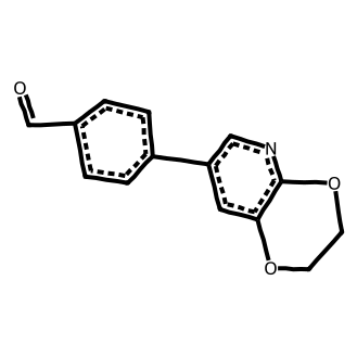 O=Cc1ccc(-c2cnc3c(c2)OCCO3)cc1